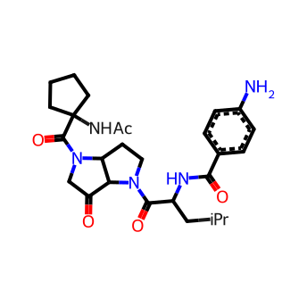 CC(=O)NC1(C(=O)N2CC(=O)C3C2CCN3C(=O)C(CC(C)C)NC(=O)c2ccc(N)cc2)CCCC1